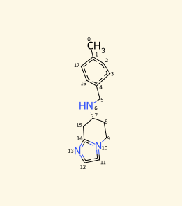 Cc1ccc(CN[C@@H]2CCn3ccnc3C2)cc1